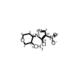 CC1COCCC1n1ncc([N+](=O)[O-])c1Cl